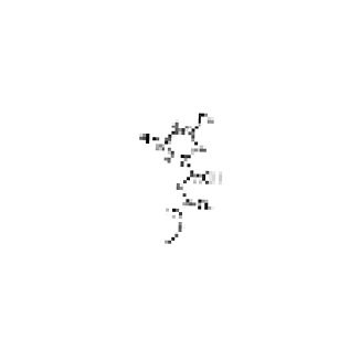 CCOC(=O)CC(O)c1cc(F)cc(F)c1